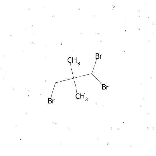 CC(C)(CBr)C(Br)Br